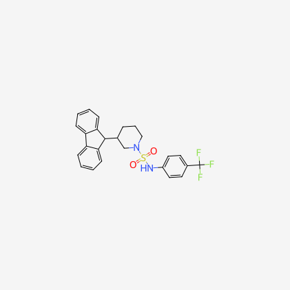 O=S(=O)(Nc1ccc(C(F)(F)F)cc1)N1CCCC(C2c3ccccc3-c3ccccc32)C1